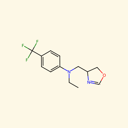 CCN(CC1CO[C]=N1)c1ccc(C(F)(F)F)cc1